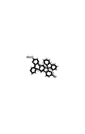 COc1ccc2c(c1)c1ccccc1c1cc3c(cc21)C1(c2ccccc2-c2ccccc21)c1cc(Br)ccc1-3